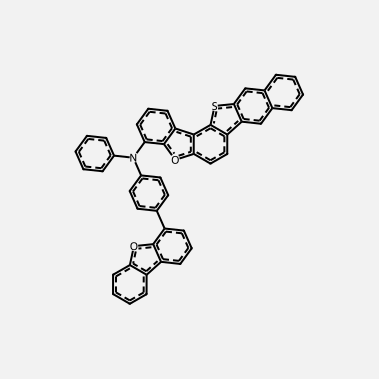 c1ccc(N(c2ccc(-c3cccc4c3oc3ccccc34)cc2)c2cccc3c2oc2ccc4c5cc6ccccc6cc5sc4c23)cc1